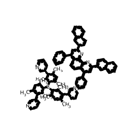 Cc1cc(C)c(-c2cccnc2)c(C)c1B(c1c(C)cc(C)c(-c2cccnc2)c1C)c1c(C)cc(C)c(-c2cccnc2)c1C.c1ccc(-c2cc(-c3ccc4ccccc4c3)nc3c2ccc2c(-c4ccccc4)cc(-c4ccc5ccccc5c4)nc23)cc1